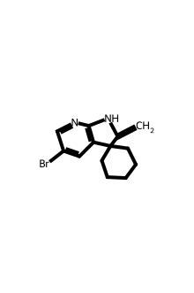 C=C1Nc2ncc(Br)cc2C12CCCCC2